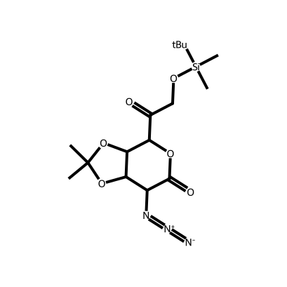 CC1(C)OC2C(N=[N+]=[N-])C(=O)OC(C(=O)CO[Si](C)(C)C(C)(C)C)C2O1